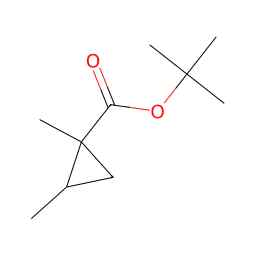 CC1CC1(C)C(=O)OC(C)(C)C